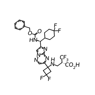 O=C(N[C@H](c1cn2ncc(C3(NC[C@@H](C(=O)O)C(F)(F)F)CC(F)(F)C3)nc2n1)C1CCC(F)(F)CC1)OCc1ccccc1